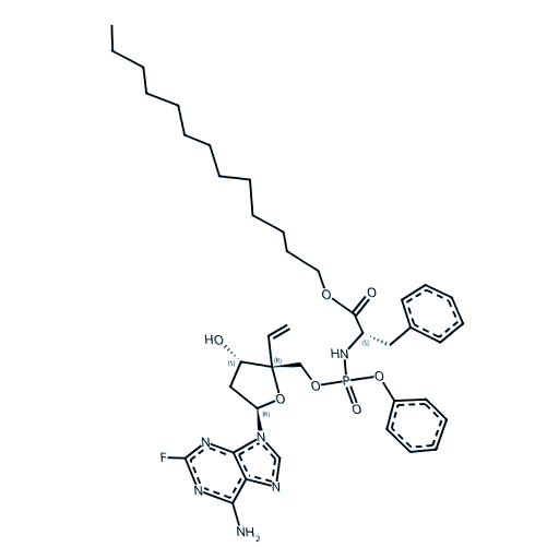 C=C[C@]1(COP(=O)(N[C@@H](Cc2ccccc2)C(=O)OCCCCCCCCCCCCC)Oc2ccccc2)O[C@@H](n2cnc3c(N)nc(F)nc32)C[C@@H]1O